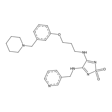 O=S1(=O)N=C(NCCCOc2cccc(CN3CCCCC3)c2)C(NCc2cccnc2)=N1